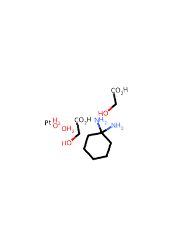 NC1(N)CCCCC1.O.O.O=C(O)CO.O=C(O)CO.[Pt]